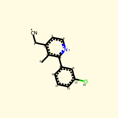 Cc1c(CC#N)ccnc1-c1cccc(Cl)c1